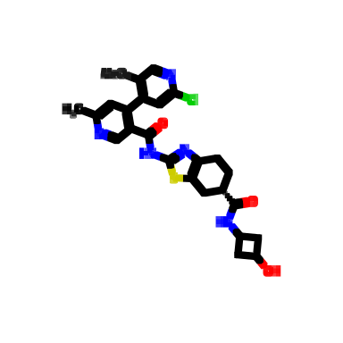 COc1cnc(Cl)cc1-c1cc(C)ncc1C(=O)Nc1nc2c(s1)C[C@@H](C(=O)NC1CC(O)C1)CC2